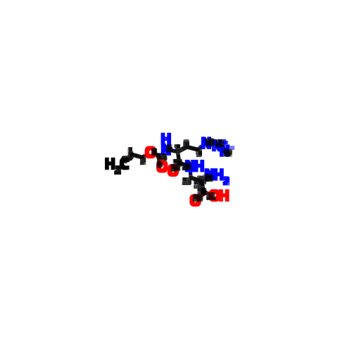 C=CCOC(=O)NC(CCN=[N+]=[N-])C(=O)NC[C@H](N)C(=O)O